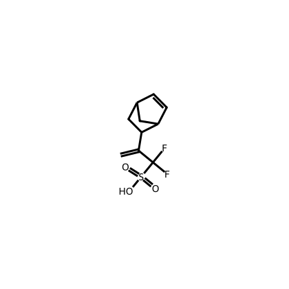 C=C(C1CC2C=CC1C2)C(F)(F)S(=O)(=O)O